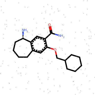 NC(=O)c1cc2c(cc1OCC1CCCCC1)CCCC[C@H]2N